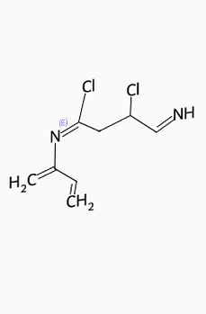 C=CC(=C)/N=C(/Cl)CC(Cl)C=N